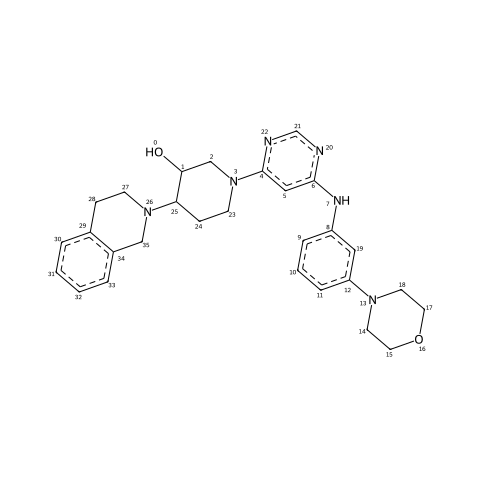 OC1CN(c2cc(Nc3cccc(N4CCOCC4)c3)ncn2)CCC1N1CCc2ccccc2C1